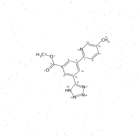 COC(=O)c1cc(-c2ccc(C)cn2)cc(-c2nnn[nH]2)c1